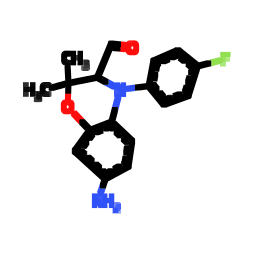 CC1(C)Oc2cc(N)ccc2N(c2ccc(F)cc2)C1C=O